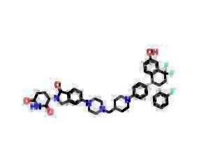 O=C1CC[C@H](N2Cc3cc(N4CCN(CC5CCN(c6ccc([C@@H]7c8ccc(O)cc8C(F)(F)C[C@@H]7c7ccccc7F)cc6)CC5)CC4)ccc3C2=O)C(=O)N1